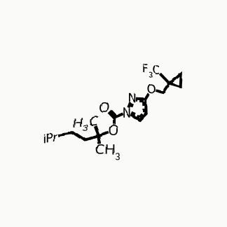 CC(C)CCC(C)(C)OC(=O)n1ccc(OCC2(C(F)(F)F)CC2)n1